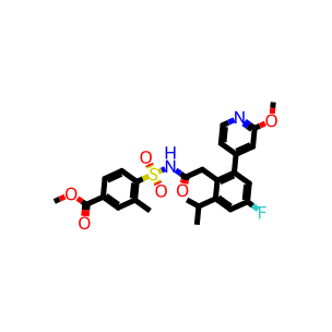 COC(=O)c1ccc(S(=O)(=O)NC(=O)Cc2c(-c3ccnc(OC)c3)cc(F)cc2C(C)C)c(C)c1